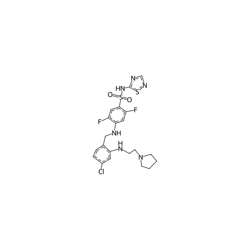 O=S(=O)(Nc1ncns1)c1cc(F)c(NCc2ccc(Cl)cc2NCCN2CCCC2)cc1F